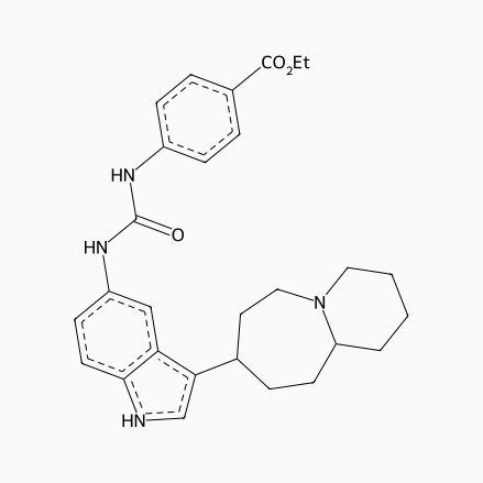 CCOC(=O)c1ccc(NC(=O)Nc2ccc3[nH]cc(C4CCC5CCCCN5CC4)c3c2)cc1